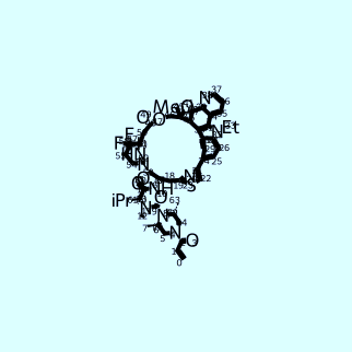 C=CC(=O)N1C[C@@H](C)N(C(=O)N(C)[C@H](C(=O)N[C@H]2Cc3nc(cs3)-c3ccc4c(c3)c3c(n4CC)-c4cccnc4[C@@H](OC)C3C(C)(C)COC(=O)C[C@H]3NN(CCC3(F)F)C2=O)C(C)C)[C@H](C)C1